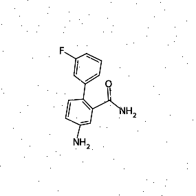 NC(=O)c1cc(N)ccc1-c1cccc(F)c1